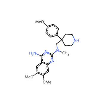 COc1ccc(C2(CN(C)c3nc(N)c4cc(OC)c(OC)cc4n3)CCNCC2)cc1